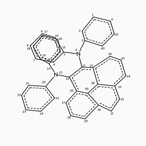 c1ccc(N(c2ccccc2)c2c(N(c3ccccc3)c3ccccc3)c3cccc4ccc5cccc2c5c43)cc1